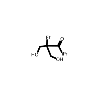 CCC(CO)(CO)C(=O)C(C)C